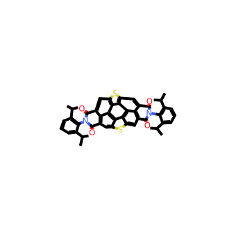 CC(C)c1cccc(C(C)C)c1-n1c(=O)c2cc3sc4cc5c(=O)n(-c6c(C(C)C)cccc6C(C)C)c(=O)c6cc7sc8cc(c1=O)c2c1c3c4c(c56)c7c81